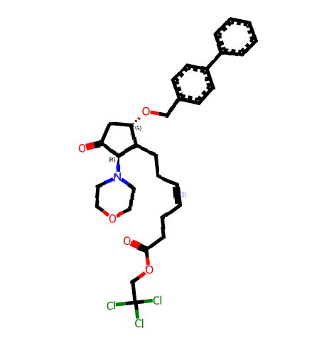 O=C(CC/C=C\CCC1[C@@H](OCc2ccc(-c3ccccc3)cc2)CC(=O)[C@@H]1N1CCOCC1)OCC(Cl)(Cl)Cl